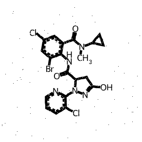 CN(C(=O)c1cc(Cl)cc(Br)c1NC(=O)C1CC(O)=NN1c1ncccc1Cl)C1CC1